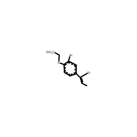 C/C=C(\CC)c1ccc(OCC(=O)OCC)c(C(C)=O)c1